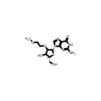 COCCOC1C(O)[C@@H](CO)S[C@H]1n1cnc2c(=O)[nH]c(N)nc21